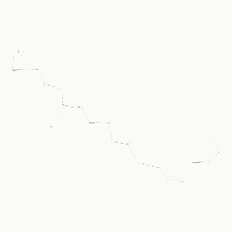 CCCCC/C=C\C/C=C\CCCCCCCC(=O)OCCCOC